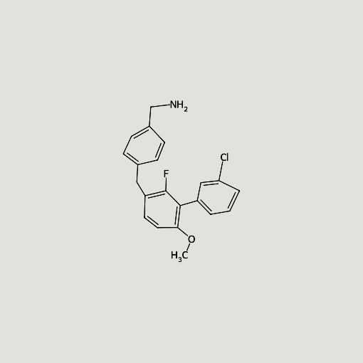 COc1ccc(Cc2ccc(CN)cc2)c(F)c1-c1cccc(Cl)c1